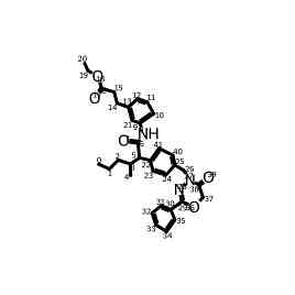 CCCC(C)C(C(=O)Nc1cccc(CCC(=O)OCC)c1)c1ccc(CN2N=C(c3ccccc3)OCC2=O)cc1